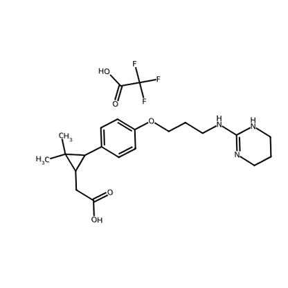 CC1(C)C(CC(=O)O)C1c1ccc(OCCCNC2=NCCCN2)cc1.O=C(O)C(F)(F)F